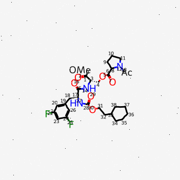 COC(=O)[C@H](COC(=O)C1CCCN1C(C)=O)NC(=O)[C@H](Cc1cc(F)cc(F)c1)NC(=O)OCCC1CCCCC1